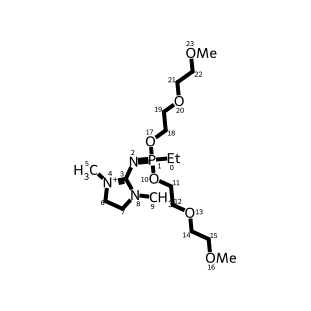 CCP(=NC1=[N+](C)CCN1C)(OCCOCCOC)OCCOCCOC